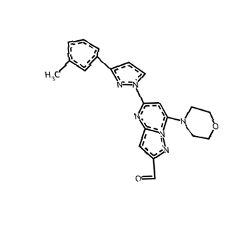 Cc1cccc(-c2ccn(-c3cc(N4CCOCC4)n4nc(C=O)cc4n3)n2)c1